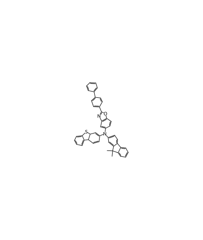 CC1(C)c2ccccc2-c2ccc(N(C3=CC4Sc5ccccc5C4C=C3)c3ccc4oc(-c5ccc(-c6ccccc6)cc5)nc4c3)cc21